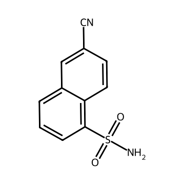 N#Cc1ccc2c(S(N)(=O)=O)cccc2c1